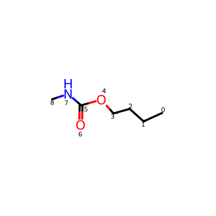 CCC[CH]OC(=O)NC